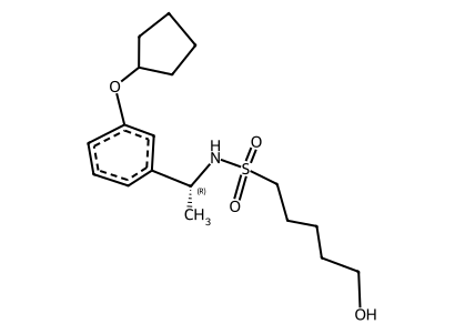 C[C@@H](NS(=O)(=O)CCCCCO)c1cccc(OC2CCCC2)c1